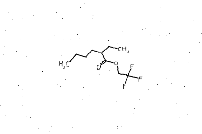 CCCCC(CC)C(=O)OCC(F)(F)F